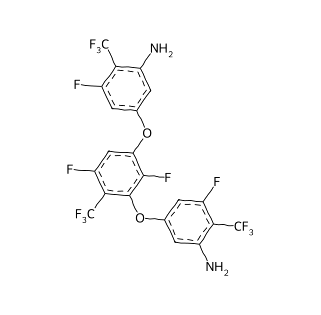 Nc1cc(Oc2cc(F)c(C(F)(F)F)c(Oc3cc(N)c(C(F)(F)F)c(F)c3)c2F)cc(F)c1C(F)(F)F